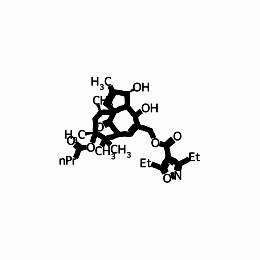 CCCC(=O)O[C@]1(C)C[C@@H](C)C23C=C(C)[C@H](O)C2C(O)C(COC(=O)c2c(CC)noc2CC)=CC(C3=O)C1(C)C